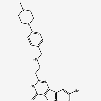 CN1CCN(c2ccc(CNCCc3nc4c(oc5ccc(Br)cc54)c(=O)[nH]3)cc2)CC1